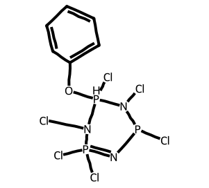 ClN1P(Cl)N=P(Cl)(Cl)N(Cl)[PH]1(Cl)Oc1ccccc1